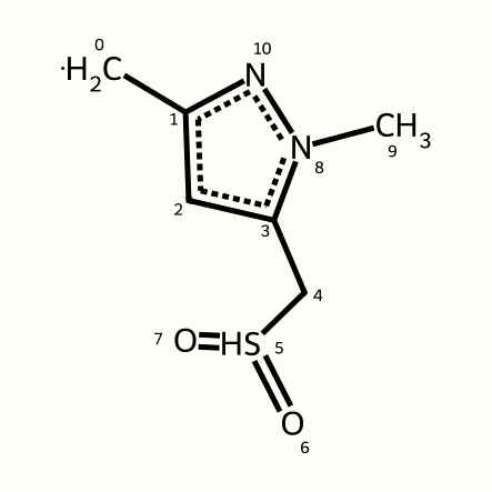 [CH2]c1cc(C[SH](=O)=O)n(C)n1